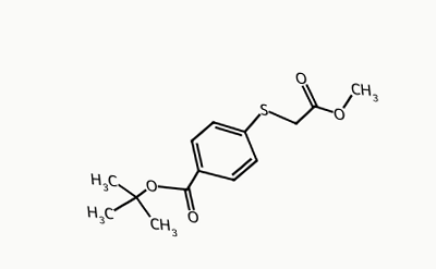 COC(=O)CSc1ccc(C(=O)OC(C)(C)C)cc1